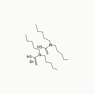 CCCCCN(CCCCC)C(=S)S.CCCCCN(CCCCC)C(=S)S.[Zn]